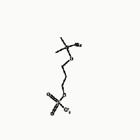 CC(C)(C)[Si](C)(C)OCCCOS(=O)(=O)C(F)(F)F